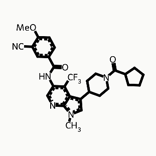 COc1ccc(C(=O)Nc2cnc3c(c(C4CCN(C(=O)C5CCCC5)CC4)cn3C)c2C(F)(F)F)cc1C#N